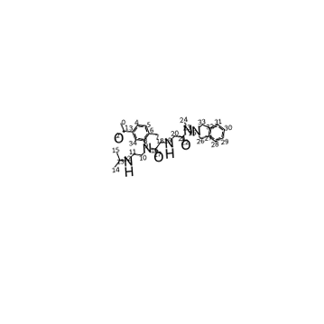 CC(=O)c1ccc(C)c(N(CCNC(C)C)C(=O)CNCC(=O)N(C)N2Cc3ccccc3C2)c1